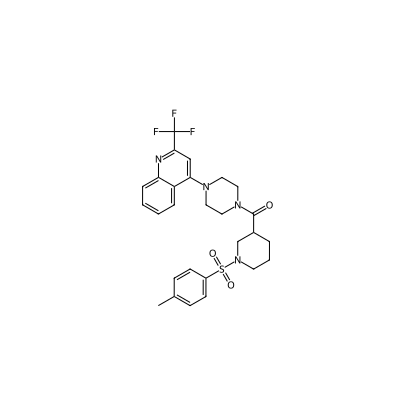 Cc1ccc(S(=O)(=O)N2CCCC(C(=O)N3CCN(c4cc(C(F)(F)F)nc5ccccc45)CC3)C2)cc1